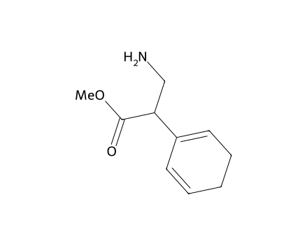 COC(=O)C(CN)C1=CCCC=C1